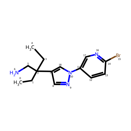 CCC(CC)(CN)c1cnn(-c2ccc(Br)nc2)c1